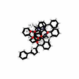 Bc1c(B)c(B)c(C2=C(C)\C=C(/N)n3c4ccccc4c4ccc5c(c43)C3(\C=C\2)c2c(cccc2N2c4ccccc4N(c4c(-c6ccccc6)cccc4-c4ccccc4)C23)C5c2ccc(-c3ccccc3)o2)c(B)c1B